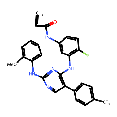 C=CC(=O)Nc1ccc(F)c(Nc2nc(Nc3ccccc3OC)ncc2-c2ccc(C(F)(F)F)cc2)c1